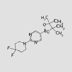 CC1(C)OB(c2cnc(N3CCC(F)(F)CC3)nc2)OC1(C)C